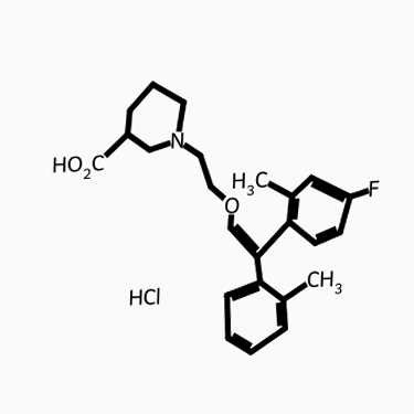 Cc1ccccc1C(=COCCN1CCCC(C(=O)O)C1)c1ccc(F)cc1C.Cl